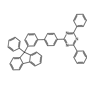 c1ccc(-c2nc(-c3ccccc3)nc(-c3ccc(-c4cccc(C5(c6ccccc6)c6ccccc6-c6ccccc65)c4)cc3)n2)cc1